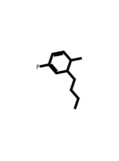 CCCCC1C=C(F)C=CC1C